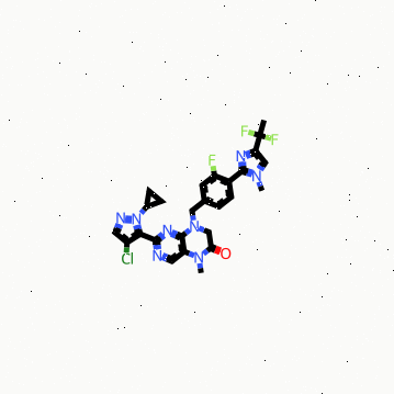 CN1C(=O)CN(Cc2ccc(-c3nc(C(C)(F)F)cn3C)c(F)c2)c2nc(-c3c(Cl)cnn3C3CC3)ncc21